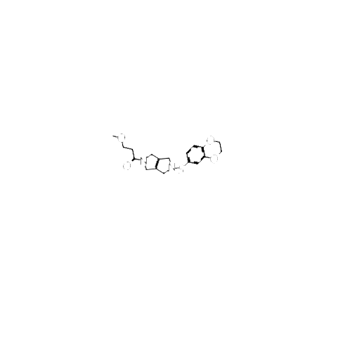 COCCC(=O)N1CC2=C(CN(Sc3ccc4c(c3)OCCO4)C2)C1